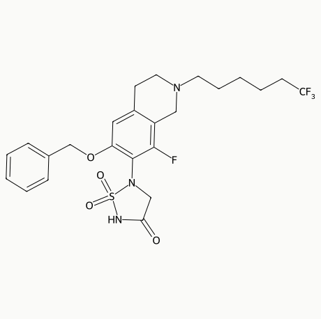 O=C1CN(c2c(OCc3ccccc3)cc3c(c2F)CN(CCCCCC(F)(F)F)CC3)S(=O)(=O)N1